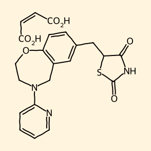 O=C(O)/C=C\C(=O)O.O=C1NC(=O)C(Cc2ccc3c(c2)CN(c2ccccn2)CCO3)S1